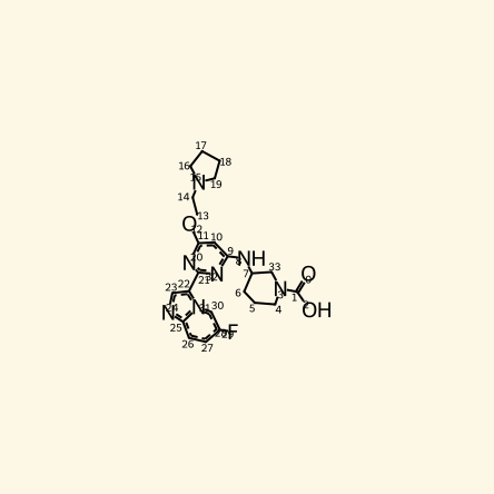 O=C(O)N1CCCC(Nc2cc(OCCN3CCCC3)nc(-c3cnc4ccc(F)cn34)n2)C1